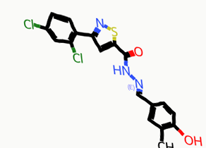 Cc1cc(/C=N/NC(=O)c2cc(-c3ccc(Cl)cc3Cl)ns2)ccc1O